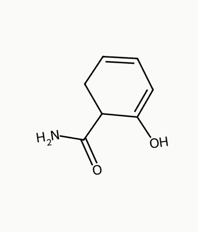 NC(=O)C1CC=CC=C1O